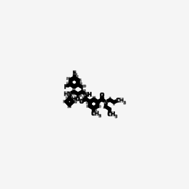 CCCN(CCC)C(=O)c1cc(C)cc(C(=O)N[C@@H](Cc2cc(F)cc(F)c2)[C@H](O)CNC2CCC2)c1